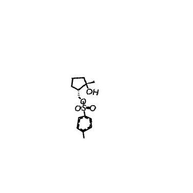 Cc1ccc(S(=O)(=O)OC[C@@H]2CCC[C@]2(C)O)cc1